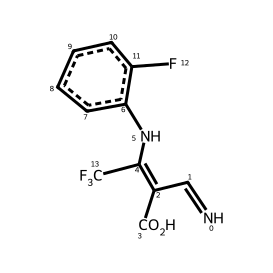 N=C/C(C(=O)O)=C(\Nc1ccccc1F)C(F)(F)F